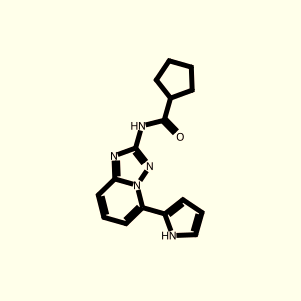 O=C(Nc1nc2cccc(-c3ccc[nH]3)n2n1)C1CCCC1